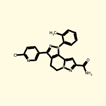 Cc1ccccc1-n1nc(-c2ccc(Cl)nc2)c2c1-c1cc(C(N)=O)nn1CC2